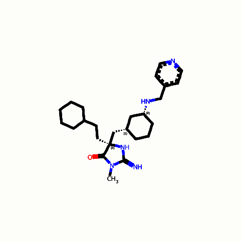 CN1C(=N)N[C@](CCC2CCCCC2)(C[C@H]2CCC[C@@H](NCc3ccncc3)C2)C1=O